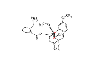 COc1ccc2c(c1)[C@]13CCN(C)[C@H](C2)[C@]1(O)CC=C(OC(=O)N1CCCC1CN)[C@@H]3OC